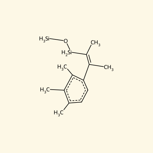 CC([SiH2]O[SiH3])=C(C)c1ccc(C)c(C)c1C